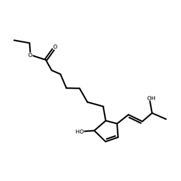 CCOC(=O)CCCCCCC1C(O)C=CC1C=CC(C)O